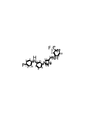 Fc1ccc(Nc2cccc(-n3cc(CNc4ccnc(C(F)(F)F)c4)nn3)c2)cc1